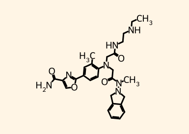 CCNCCNC(=O)CN(CC(=O)N(C)N1Cc2ccccc2C1)c1ccc(-c2nc(C(N)=O)co2)cc1C